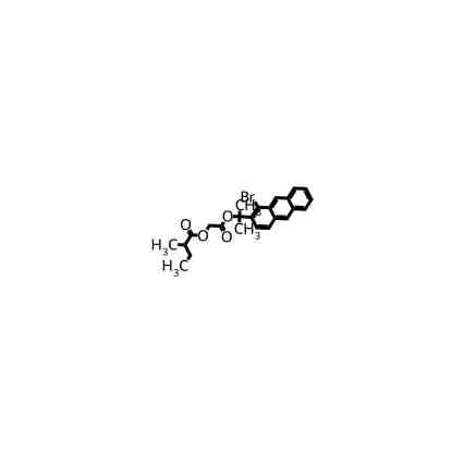 CCC(C)C(=O)OCC(=O)OC(C)(C)c1ccc2cc3ccccc3cc2c1Br